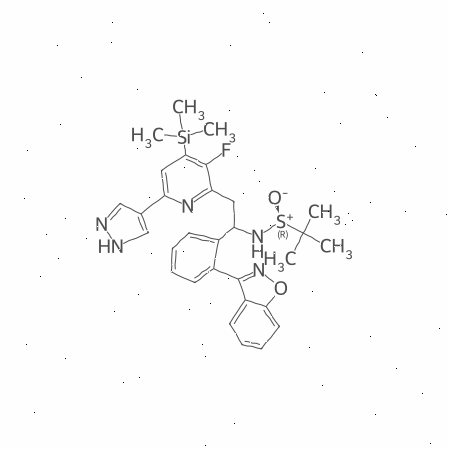 CC(C)(C)[S@+]([O-])NC(Cc1nc(-c2cn[nH]c2)cc([Si](C)(C)C)c1F)c1ccccc1-c1noc2ccccc12